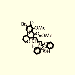 COCOC1c2c(OC)c(=O)c(Br)cn2C2CCCOC2C1(C)CCCC(C)(C)[Si](O)(c1ccccc1)c1ccccc1